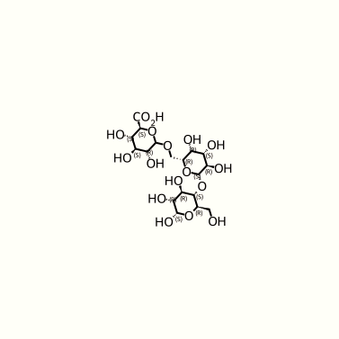 O=C(O)[C@H]1OC(OC[C@H]2O[C@@H](O[C@H]3[C@H](O)[C@@H](O)[C@@H](O)O[C@@H]3CO)[C@H](O)[C@@H](O)[C@H]2O)[C@H](O)[C@@H](O)[C@@H]1O